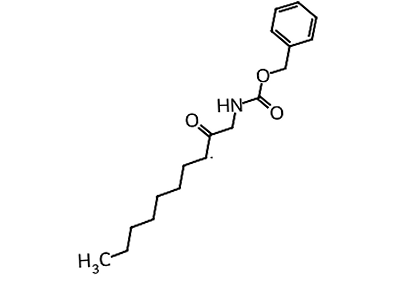 CCCCCCC[CH]C(=O)CNC(=O)OCc1ccccc1